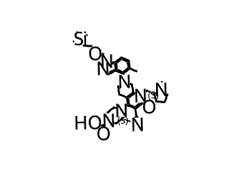 Cc1ccc2c(cnn2COCC[Si](C)(C)C)c1N1CCc2c(N3CCN(C(=O)O)C[C@@H]3C)c(C#N)c(=O)n(C[C@@H]3CCCN3C)c2C1